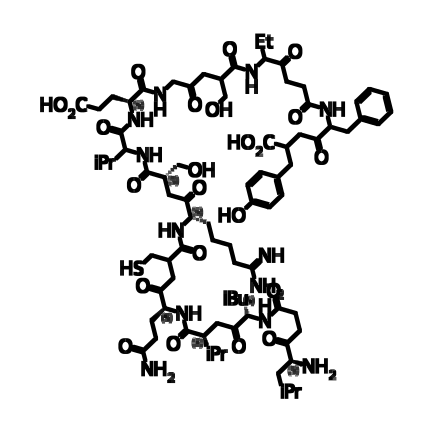 CCC(NC(=O)C(CO)CC(=O)CNC(=O)[C@H](CCC(=O)O)NC(=O)C(NC(=O)[C@H](CO)CC(=O)[C@H](CCCCC(=N)N)NC(=O)C(CS)CC(=O)[C@H](CCC(N)=O)NC(=O)[C@@H](CC(=O)C(NC(=O)CCC(=O)[C@@H](N)CC(C)C)[C@@H](C)CC)C(C)C)C(C)C)C(=O)CCC(=O)NC(Cc1ccccc1)C(=O)CC(Cc1ccc(O)cc1)C(=O)O